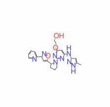 Cc1cc(Nc2cc(OCCO)nc(N3CCCC3c3cc(-c4ccccn4)no3)n2)n[nH]1